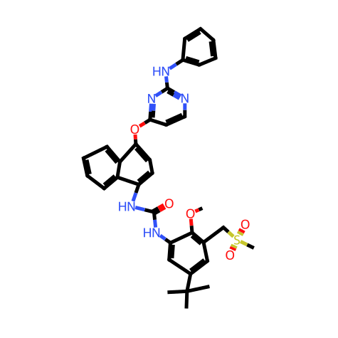 COc1c(CS(C)(=O)=O)cc(C(C)(C)C)cc1NC(=O)Nc1ccc(Oc2ccnc(Nc3ccccc3)n2)c2ccccc12